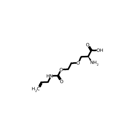 C=CCNC(=O)OCCOC[C@H](N)C(=O)O